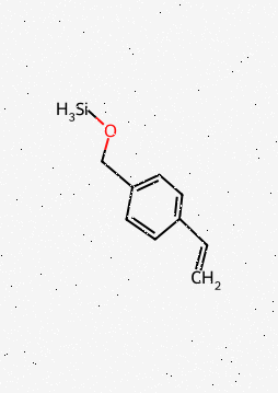 C=Cc1ccc(CO[SiH3])cc1